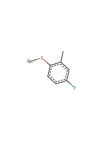 Cc1cc(F)ccc1[S][Sn]